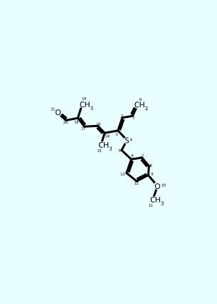 C=C/C=C(SCc1ccc(OC)cc1)/C(C)=C/C=C(\C)C=O